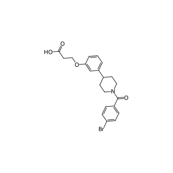 O=C(O)CCOc1cccc(C2CCN(C(=O)c3ccc(Br)cc3)CC2)c1